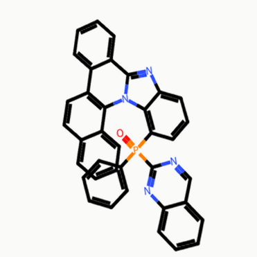 O=P(c1ccccc1)(c1ncc2ccccc2n1)c1cccc2nc3c4ccccc4c4ccc5ccccc5c4n3c12